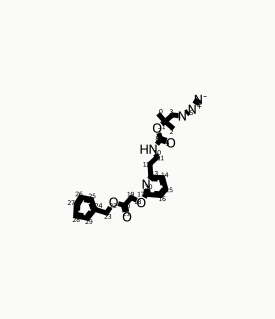 CC(C)(CN=[N+]=[N-])OC(=O)NCCc1cccc(OCC(=O)OCc2ccccc2)n1